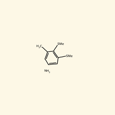 CSc1cccc(C)c1SC.N